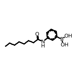 CCCCCCCC(=O)Nc1cccc(B(O)O)c1